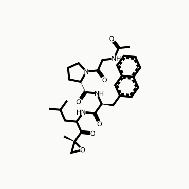 CC(=O)NCC(=O)N1CCC[C@H]1C(=O)N[C@@H](Cc1ccc2ccccc2c1)C(=O)NC(CC(C)C)C(=O)[C@@]1(C)CO1